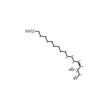 CCOC(=O)CCCCCCCCCCCC/C=C\[C@@H](O)CC(C)C